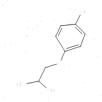 CCCCC(O)COc1ccc(Cl)cc1